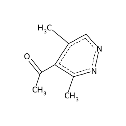 CC(=O)c1c(C)cnnc1C